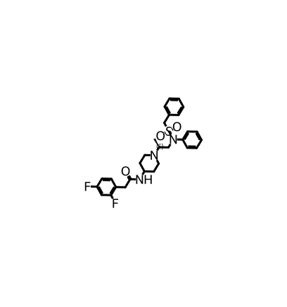 C[C@@H](CN(c1ccccc1)S(=O)(=O)Cc1ccccc1)N1CCC(NC(=O)Cc2ccc(F)cc2F)CC1